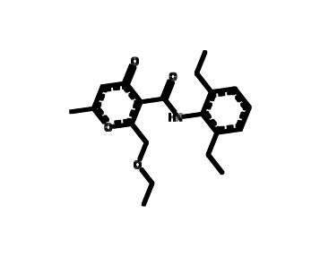 CCOCc1oc(C)cc(=O)c1C(=O)Nc1c(CC)cccc1CC